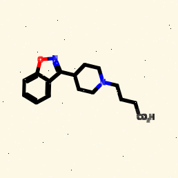 O=C(O)CCCN1CCC(c2noc3ccccc23)CC1